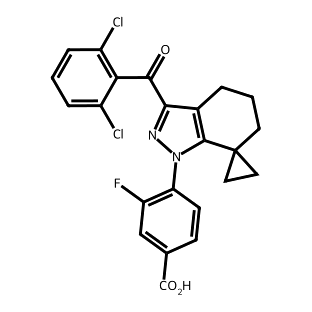 O=C(O)c1ccc(-n2nc(C(=O)c3c(Cl)cccc3Cl)c3c2C2(CCC3)CC2)c(F)c1